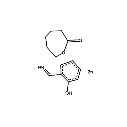 N=Cc1ccccc1O.O=C1CCCCCO1.[Zn]